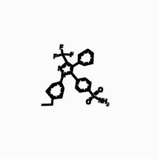 CCc1ccc(-n2nc(C(F)(F)F)c(-c3ccccc3)c2-c2ccc(S(N)(=O)=O)cc2)cc1